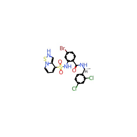 C[C@@H](NC(=O)c1ccc(Br)cc1NS(=O)(=O)C1=CC=CN2SNC=C12)c1ccc(Cl)cc1Cl